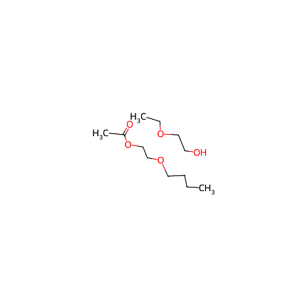 CCCCOCCOC(C)=O.CCOCCO